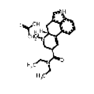 CCN(CC)C(=O)[C@@H]1C=C2c3cccc4[nH]cc(c34)C[C@H]2N(C)C1.[CH2]C(=O)O